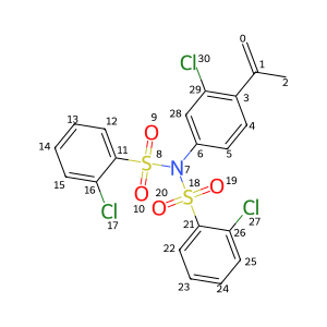 C=C(C)c1ccc(N(S(=O)(=O)c2ccccc2Cl)S(=O)(=O)c2ccccc2Cl)cc1Cl